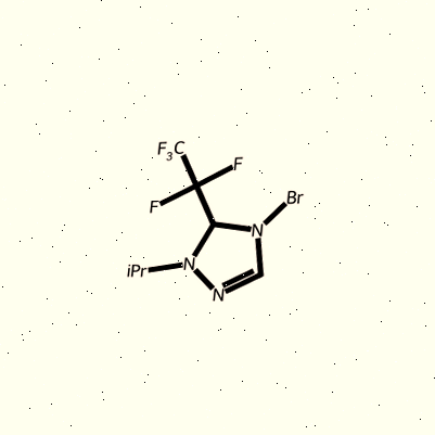 CC(C)N1N=CN(Br)C1C(F)(F)C(F)(F)F